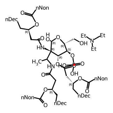 CCCCCCCCCCC[C@H](CC(=O)NC(C)[C@]1(NC(=O)C[C@@H](CCCCCCCCCCC)OC(=O)CCCCCCCCC)[C@H](O)O[C@H](CO)[C@@H](OP(=O)(O)O)[C@@H]1OC(=O)C[C@@H](CCCCCCCCCCC)OC(=O)CCCCCCCCC)OC(=O)CCCCCCCCC.CCN(CC)CC